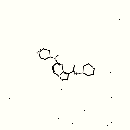 CN(c1ccn2ncc(C(=O)NC3CCCCC3)c2n1)C1CCNCC1